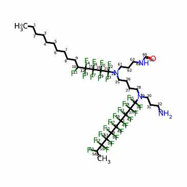 CCCCCCCCCCC(F)C(F)(F)C(F)(F)C(F)(F)C(F)(F)N(CCCCN(CCCN)C(F)(F)C(F)(F)C(F)(F)C(F)(F)C(F)(F)C(F)(F)C(F)(F)C(F)(F)C(C)F)CCCN[C]=O